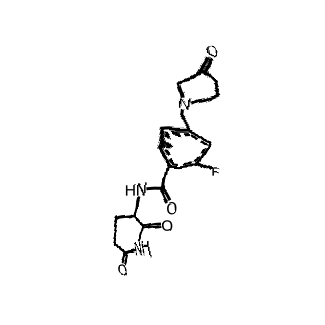 O=C1CN(c2ccc(C(=O)NC3CCC(=O)NC3=O)c(F)c2)C1